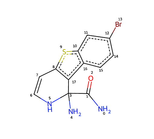 NC(=O)C1(N)NC=Cc2sc3cc(Br)ccc3c21